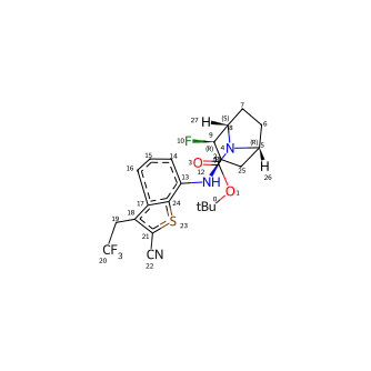 CC(C)(C)OC(=O)N1[C@@H]2CC[C@H]1[C@H](F)[C@H](Nc1cccc3c(CC(F)(F)F)c(C#N)sc13)C2